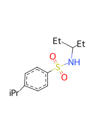 CCC(CC)NS(=O)(=O)c1ccc(C(C)C)cc1